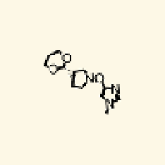 Cn1cnc(ON2CC[C@H](C3OCCCO3)C2)c1